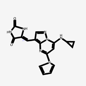 O=C1NC(=O)/C(=C/c2cnn3c(NC4CC4)cc(-n4cccc4)nc23)N1